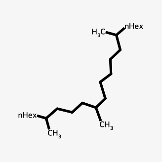 CCCCCCC(C)CCCCCC(C)CCCC(C)CCCCCC